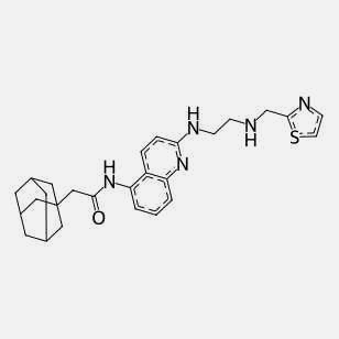 O=C(CC12CC3CC(CC(C3)C1)C2)Nc1cccc2nc(NCCNCc3nccs3)ccc12